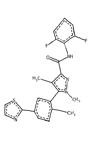 Cc1ccc(-c2nccs2)cc1-c1c(C)c(C(=O)Nc2c(F)cccc2F)nn1C